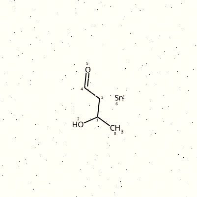 CC(O)CC=O.[Sn]